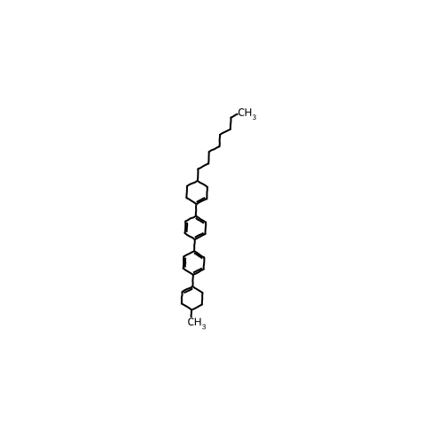 CCCCCCCCC1CC=C(c2ccc(-c3ccc(C4=CCC(C)CC4)cc3)cc2)CC1